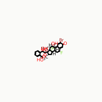 C[C@H]1C[C@H]2[C@@H]3C[C@@H](F)C4=CC(=O)C(Br)=C[C@]4(C)[C@@]3(F)[C@@H](O)C[C@]2(C)[C@@]1(O)C(=O)C(O)c1ccccc1C(=O)O